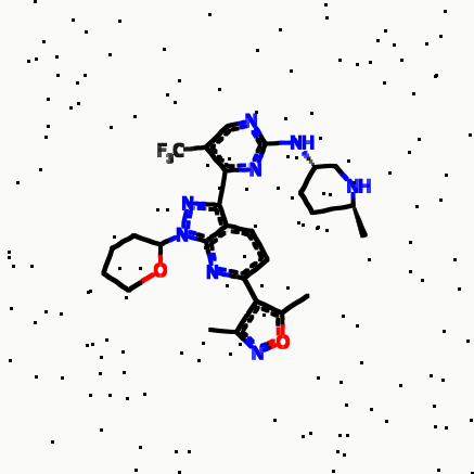 Cc1noc(C)c1-c1ccc2c(-c3nc(N[C@H]4CC[C@H](C)NC4)ncc3C(F)(F)F)nn(C3CCCCO3)c2n1